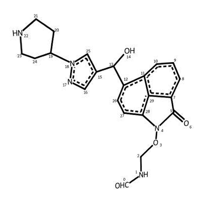 O=CNCON1C(=O)c2cccc3c(C(O)c4cnn(C5CCNCC5)c4)ccc1c23